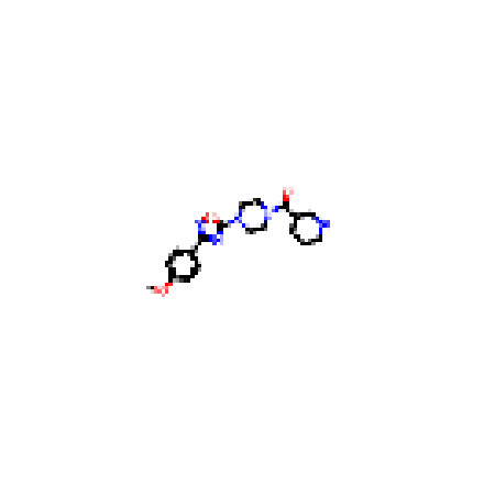 COc1ccc(-c2noc(N3CCN(C(=O)C4CCCNC4)CC3)n2)cc1